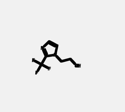 OCCn1ccnc1C(F)(F)F